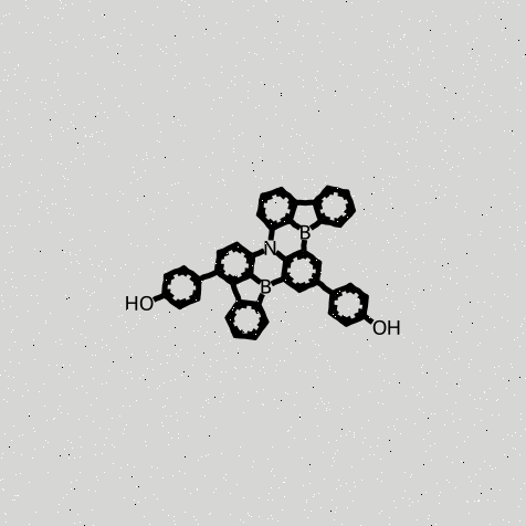 Oc1ccc(-c2cc3c4c(c2)B2c5ccccc5-c5c(-c6ccc(O)cc6)ccc(c52)N4c2cccc4c2B3c2ccccc2-4)cc1